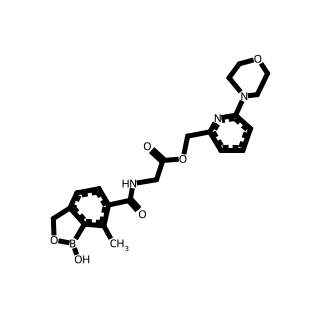 Cc1c(C(=O)NCC(=O)OCc2cccc(N3CCOCC3)n2)ccc2c1B(O)OC2